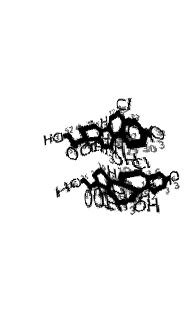 C[C@]12C=CC(=O)C=C1C(Cl)=C[C@@H]1[C@@H]2[C@@H](O)C[C@@]2(C)[C@H]1CC[C@]2(O)C(=O)CO.C[C@]12C=CC(=O)C=C1C(Cl)=C[C@@H]1[C@@H]2[C@@H](O)C[C@@]2(C)[C@H]1CC[C@]2(O)C(=O)CO